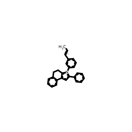 C/C=C/c1cccc(-n2c(-c3ccccc3)cc3c2CCc2ccccc2-3)c1